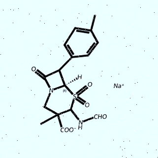 Cc1ccc(C2C(=O)N3CC(C)(C(=O)[O-])C(NC=O)S(=O)(=O)[C@H]23)cc1.[Na+]